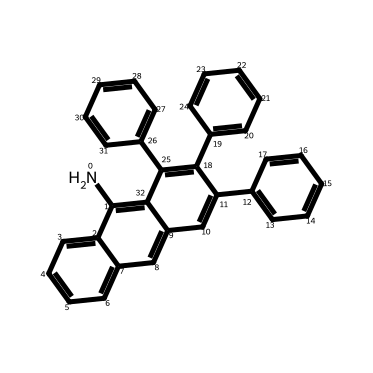 Nc1c2ccccc2cc2cc(-c3ccccc3)c(-c3ccccc3)c(-c3ccccc3)c12